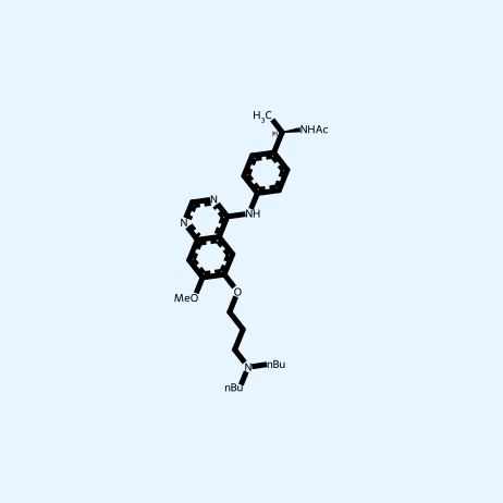 CCCCN(CCCC)CCCOc1cc2c(Nc3ccc([C@@H](C)NC(C)=O)cc3)ncnc2cc1OC